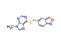 Cn1cnc2c(SCc3ccc4nocc4c3)ncnc21